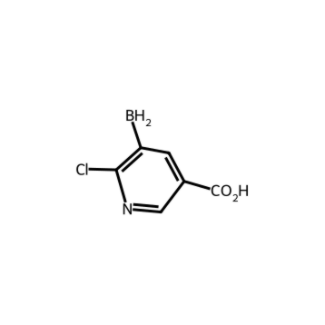 Bc1cc(C(=O)O)cnc1Cl